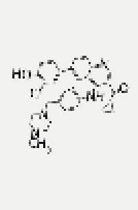 CN1CCN(Cc2ccc(Nc3c(C(=O)C4CC4)cnc4ccc(-c5ccc(O)c(Cl)c5)cc34)cc2)CC1